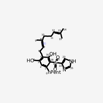 CCCCCc1cc(O)c(C/C=C(\C)CCC=C(C)C)c(O)c1S(=O)(=O)c1c[nH]cn1